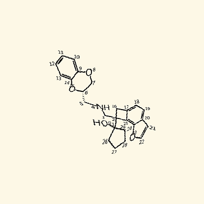 OC1(C2(CNC[C@H]3COc4ccccc4O3)Cc3ccc4ccoc4c32)CCCC1